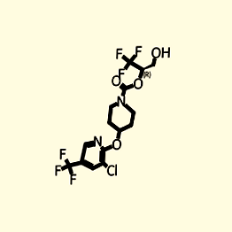 O=C(O[C@H](CO)C(F)(F)F)N1CCC(Oc2ncc(C(F)(F)F)cc2Cl)CC1